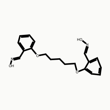 ON=Cc1ccccc1OCCCCCOc1ccccc1C=NO